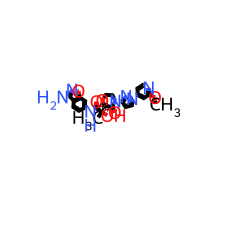 COc1cc(-n2ccc(N3CCO[C@H](C(C)(O)C(=O)Nc4ccc5c(N)noc5c4)C3=O)n2)ccn1